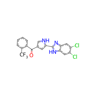 O=C(c1c[nH]c(-c2nc3cc(Cl)c(Cl)cc3[nH]2)c1)c1ccccc1C(F)(F)F